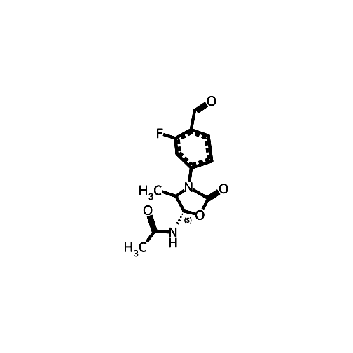 CC(=O)N[C@H]1OC(=O)N(c2ccc(C=O)c(F)c2)C1C